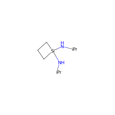 CC(C)N[Si]1(NC(C)C)CCC1